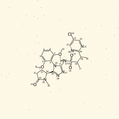 COc1cccc(OC)c1-n1c(NS(=O)(=O)C(C)C(C)c2ncc(Cl)cn2)nnc1[C@@H]1CCC(=O)N1C